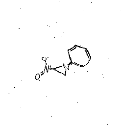 O=[N+]([O-])C1CN1c1ccccc1